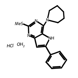 CSc1nc(N2CCCCC2)c2[nH]c(-c3ccccc3)cc2n1.Cl.O